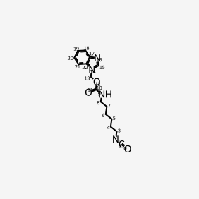 O=C=NCCCCCCNC(=O)OCn1cnc2ccccc21